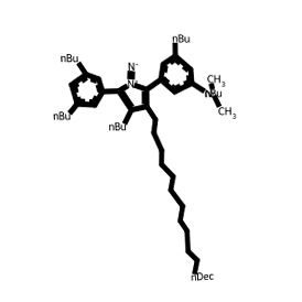 CCCCCCCCCCCCCCCCCCCCCC1=C(c2cc(CCCC)cc(CCCC)c2)[N+](=[N-])C(c2cc(CCCC)cc(CCCC)c2)=C1CCCC.[CH3][Ni][CH3]